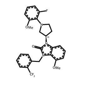 COc1cccc(F)c1N1CC[C@@H](n2c(=O)n(Cc3ccccc3C(F)(F)F)c3c(OC)cccc32)C1